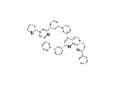 c1ccc(-c2ccc3ccc4c(-c5cccc(-c6cccc(-c7cc(-c8ccccn8)nc(-c8ccccc8)n7)c6)c5)cc(-c5ccccc5)nc4c3n2)cc1